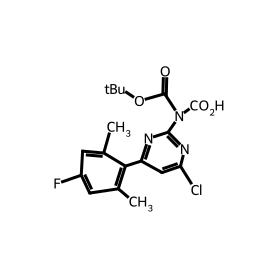 Cc1cc(F)cc(C)c1-c1cc(Cl)nc(N(C(=O)O)C(=O)OC(C)(C)C)n1